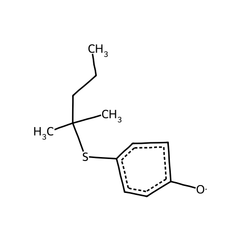 CCCC(C)(C)Sc1ccc([O])cc1